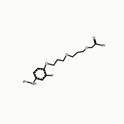 CC(C)Nc1ccc(OCCCOCCCOCC(=O)C(C)C)c(F)c1